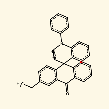 CCc1ccc2c(c1)C(=O)c1ccccc1C21c2ccccc2N(c2ccccc2)c2ccccc21